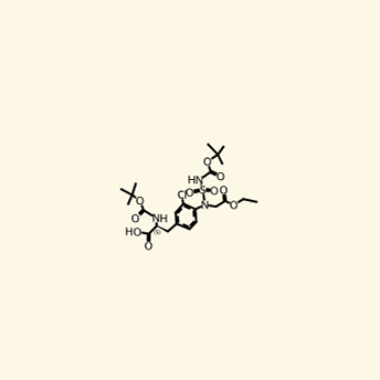 CCOC(=O)CN(c1ccc(C[C@H](NC(=O)OC(C)(C)C)C(=O)O)cc1Cl)S(=O)(=O)NC(=O)OC(C)(C)C